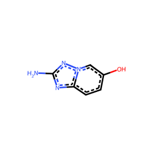 Nc1nc2ccc(O)cn2n1